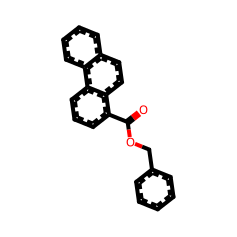 O=C(OCc1ccccc1)c1cccc2c1ccc1ccccc12